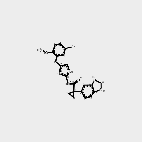 COc1ccc(F)cc1Cc1cnc(NC(=O)C2(c3ccc4c(c3)OCO4)CC2)s1